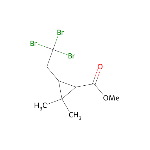 COC(=O)C1C(CC(Br)(Br)Br)C1(C)C